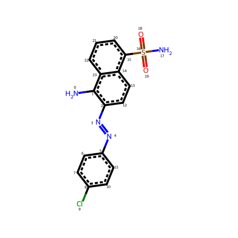 Nc1c(N=Nc2ccc(Cl)cc2)ccc2c(S(N)(=O)=O)cccc12